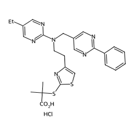 CCc1cnc(N(CCc2csc(SC(C)(C)C(=O)O)n2)Cc2cnc(-c3ccccc3)nc2)nc1.Cl